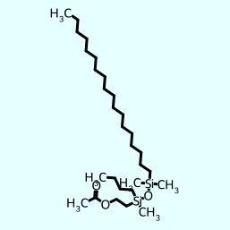 CCCCCCCCCCCCCCCCCC[Si](C)(C)O[Si](C)(CCCC)CCOC(C)=O